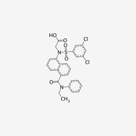 CCN(C(=O)c1cccc2c(N(CC(=O)O)S(=O)(=O)c3cc(Cl)cc(Cl)c3)cccc12)c1ccccc1